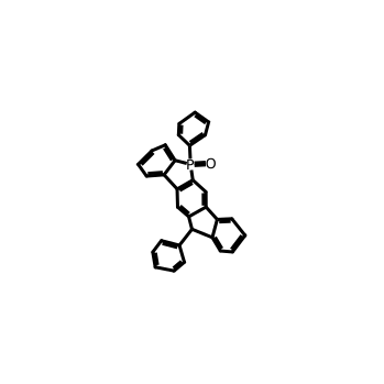 O=P1(c2ccccc2)c2ccccc2-c2cc3c(cc21)-c1ccccc1C3c1ccccc1